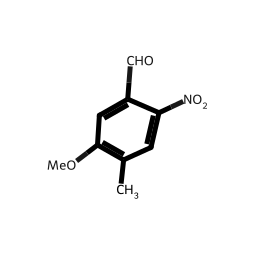 COc1cc(C=O)c([N+](=O)[O-])cc1C